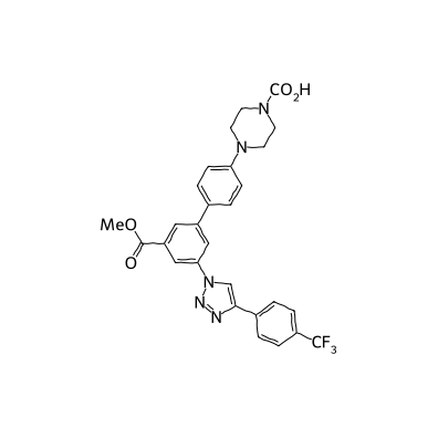 COC(=O)c1cc(-c2ccc(N3CCN(C(=O)O)CC3)cc2)cc(-n2cc(-c3ccc(C(F)(F)F)cc3)nn2)c1